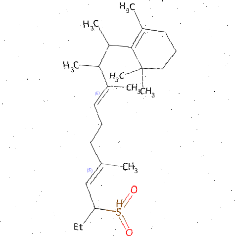 CCC(/C=C(\C)CC/C=C(\C)C(C)C(C)C1=C(C)CCCC1(C)C)[SH](=O)=O